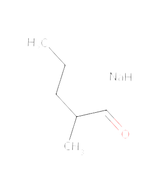 CCCC(C)C=O.[NaH]